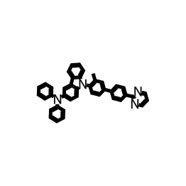 Cc1cc(-c2ccc(-c3ncccn3)cc2)ccc1-n1c2ccccc2c2cc(N(c3ccccc3)c3ccccc3)ccc21